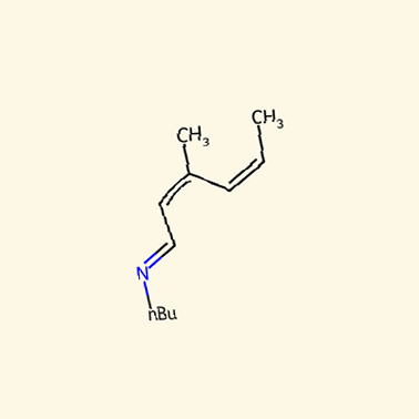 C\C=C/C(C)=C\C=N\CCCC